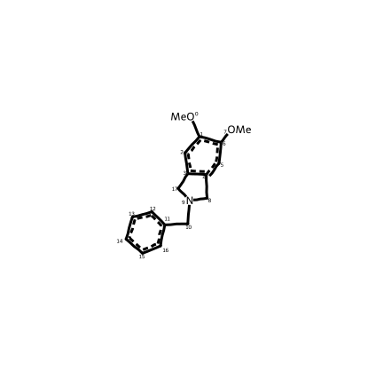 COc1cc2c(cc1OC)CN(Cc1ccccc1)C2